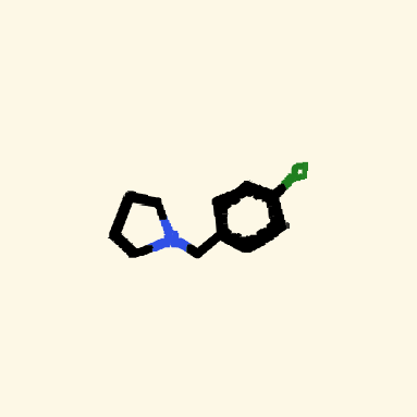 Clc1[c]cc(CN2CCCC2)cc1